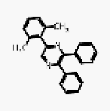 Cc1cccc(C)c1-c1cnc(-c2ccccc2)c(-c2ccccc2)n1